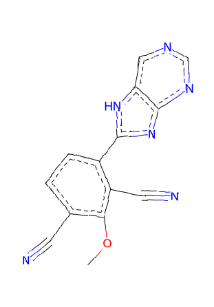 COc1c(C#N)ccc(-c2nc3ncncc3[nH]2)c1C#N